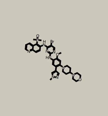 COc1cc(N2CCC(N3CCOCC3)CC2)c(-c2cnn(C)c2)cc1Nc1ncc(Br)c(Nc2ccc3ncccc3c2P(C)(C)=O)n1